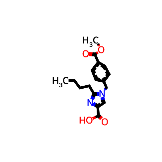 CCCCc1nc(C(=O)O)cn1Cc1ccc(C(=O)OC)cc1